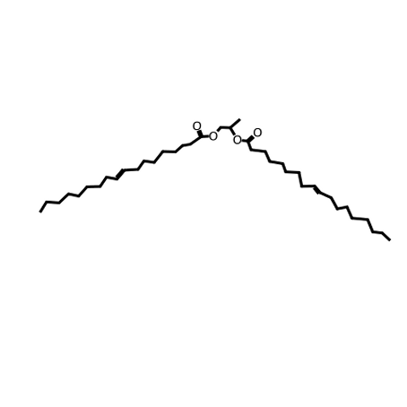 CCCCCCCCC=CCCCCCCCC(=O)OCC(C)OC(=O)CCCCCCCC=CCCCCCCCC